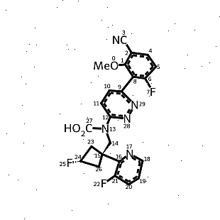 COc1c(C#N)ccc(F)c1-c1ccc(N(C[C@]2(c3ncccc3F)C[C@@H](F)C2)C(=O)O)nn1